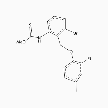 CCc1cc(C)ccc1OCc1c(Br)cccc1NC(=S)OC